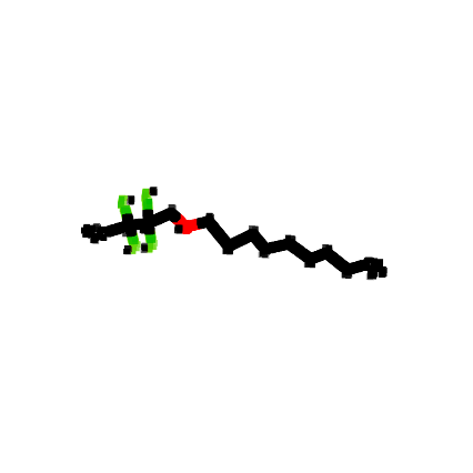 [CH2]C(F)(F)C(F)(F)COCCCCCCCCC